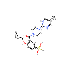 CS(=O)(=O)c1ccc(OCC2CC2)c(C(=O)N2CCN(c3ncc(C(F)(F)F)cn3)CC2)c1